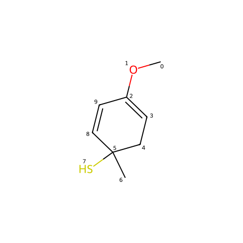 COC1=CCC(C)(S)C=C1